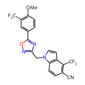 COc1ccc(-c2nc(Cn3ccc4c(C(F)(F)F)c(C#N)ccc43)no2)cc1C(F)(F)F